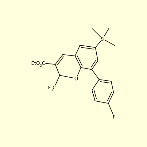 CCOC(=O)C1=Cc2cc([Si](C)(C)C)cc(-c3ccc(F)cc3)c2OC1C(F)(F)F